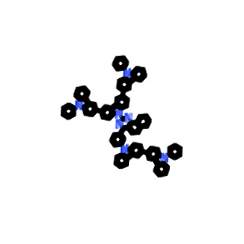 c1ccc(-n2c3ccccc3c3cc(-c4ccc5c(c4)c4ccccc4n5-c4cccc(-c5nc(-n6c7ccc(-c8ccc9c(c8)c8ccccc8n9-c8ccccc8)cc7c7cc(-c8ccc9c(c8)c8ccccc8n9-c8ccccc8)ccc76)nc6c5ccc5ccccc56)c4)ccc32)cc1